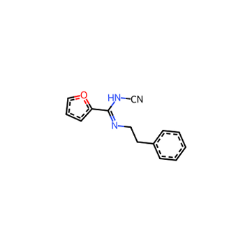 N#CN/C(=N\CCc1ccccc1)c1ccco1